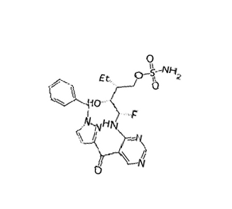 CC[C@H](COS(N)(=O)=O)[C@@H](O)[C@H](F)Nc1ncncc1C(=O)c1ccn(Cc2ccccc2)n1